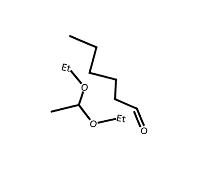 CCCCCC=O.CCOC(C)OCC